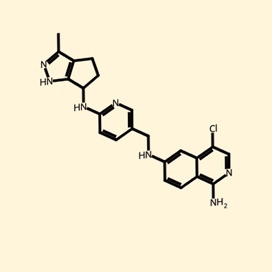 Cc1n[nH]c2c1CCC2Nc1ccc(CNc2ccc3c(N)ncc(Cl)c3c2)cn1